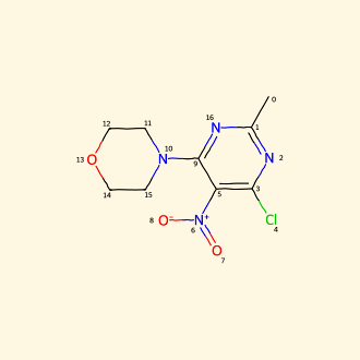 Cc1nc(Cl)c([N+](=O)[O-])c(N2CCOCC2)n1